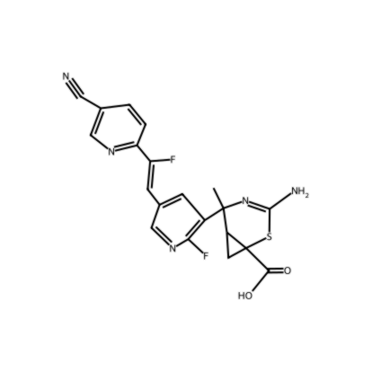 CC1(c2cc(C=C(F)c3ccc(C#N)cn3)cnc2F)N=C(N)SC2(C(=O)O)CC21